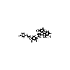 Cc1cc(C)c(C(c2cc(Cl)ccc2Cl)N(C(=O)O)c2ccnc(Nc3ccc(OCCCN4CCN(C)CC4)c(F)c3)n2)c(C)c1